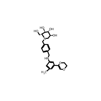 Cc1cc(NCc2ccc(CN3C[C@H](O)[C@@H](O)[C@H](O)[C@H]3CO)cc2)cc(C2=COCCO2)c1